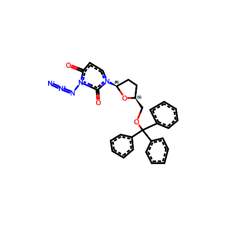 [N-]=[N+]=Nn1c(=O)ccn([C@H]2CC[C@@H](COC(c3ccccc3)(c3ccccc3)c3ccccc3)O2)c1=O